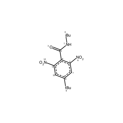 CCC(C)NC(=O)c1c([N+](=O)[O-])cc(C(C)(C)C)cc1[N+](=O)[O-]